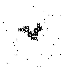 O=[N+]([O-])c1ccc(N(CO)CCO)nc1Nc1ccc2[nH]ncc2c1